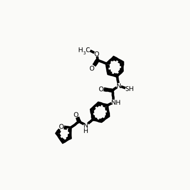 COC(=O)c1cccc(N(S)C(=O)Nc2ccc(NC(=O)c3ccco3)cc2)c1